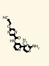 C#CCOc1cnc(C(=O)Nc2ccnc([C@]3(C)C=CSC(N)=N3)c2)cn1